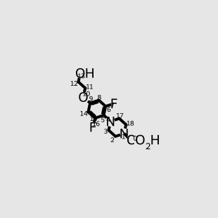 O=C(O)N1CCN(c2c(F)cc(OCCO)cc2F)CC1